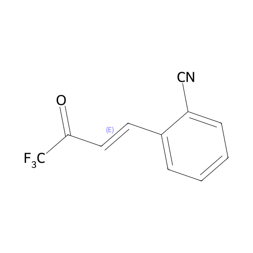 N#Cc1ccccc1/C=C/C(=O)C(F)(F)F